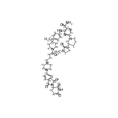 CN1CCN([C@@H]2CCCN(c3cnc(C(N)=O)c(Nc4ccc(C5(C)CCN(C(=O)CCCN6CCN(c7ccc8c(c7)C(=O)N(C7CCC(=O)NC7=O)C8=O)CC6)CC5)cc4)n3)C2)C1=O